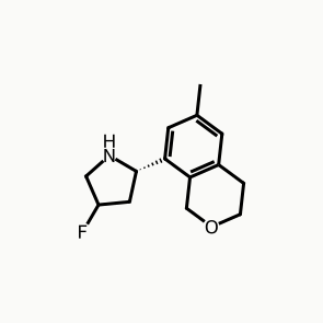 Cc1cc2c(c([C@@H]3CC(F)CN3)c1)COCC2